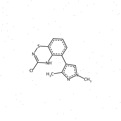 Cc1nn(C)cc1-c1cccc2c1NC(Cl)=NS2